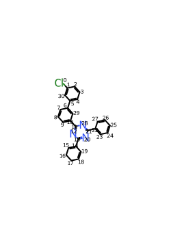 Clc1cccc(-c2cccc(-c3nc(C4=CCCC=C4)nc(-c4ccccc4)n3)c2)c1